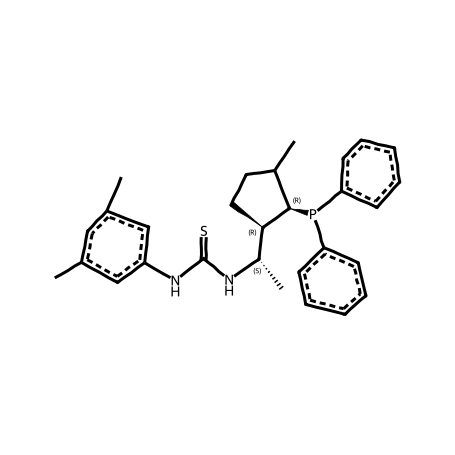 Cc1cc(C)cc(NC(=S)N[C@@H](C)[C@H]2CCC(C)[C@H]2P(c2ccccc2)c2ccccc2)c1